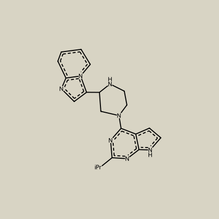 CC(C)c1nc(N2CCNC(c3cnc4ccccn34)C2)c2cc[nH]c2n1